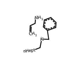 C=C[CH2][AlH2].CCCCCCC[CH2][Al][CH2]c1ccccc1